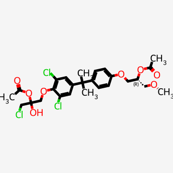 COC[C@H](COc1ccc(C(C)(C)c2cc(Cl)c(OCC(O)(CCl)OC(C)=O)c(Cl)c2)cc1)OC(C)=O